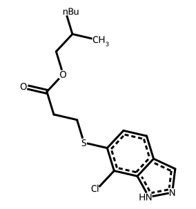 CCCCC(C)COC(=O)CCSc1ccc2cn[nH]c2c1Cl